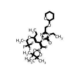 CC/C(=C\C(=C(\F)B1OC(C)(C)C(C)(C)O1)n1nc(COC2CCCCO2)n(CC)c1=O)O[C@@H](C)C(F)(F)F